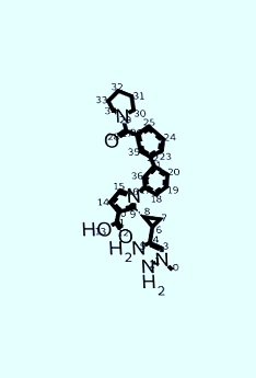 CN(N)/C=C(\N)C1C[C@H]1c1c(C(=O)O)ccn1-c1cccc(-c2cccc(C(=O)N3CCCCC3)c2)c1